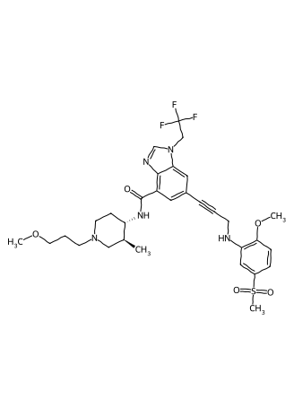 COCCCN1CC[C@H](NC(=O)c2cc(C#CCNc3cc(S(C)(=O)=O)ccc3OC)cc3c2ncn3CC(F)(F)F)[C@@H](C)C1